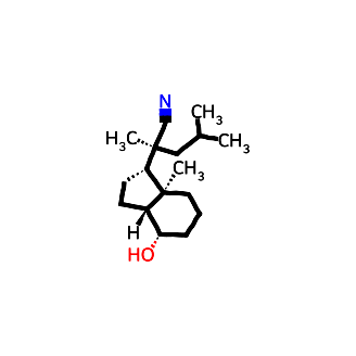 CC(C)C[C@](C)(C#N)[C@H]1CC[C@H]2[C@@H](O)CCC[C@@]21C